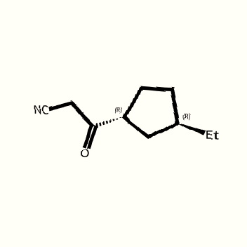 [CH2]C[C@@H]1CC[C@@H](C(=O)CC#N)C1